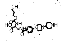 CCCCOC(=O)N[C@@H](CNC(=O)c1ccc(N2CCN(C3CCNCC3)CC2)cc1)C(=O)O